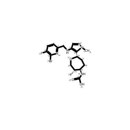 Cn1ncc(NCc2ccc(F)c(Br)n2)c1[C@@H]1CC[C@@H](NC(=O)O)[C@H](F)CO1